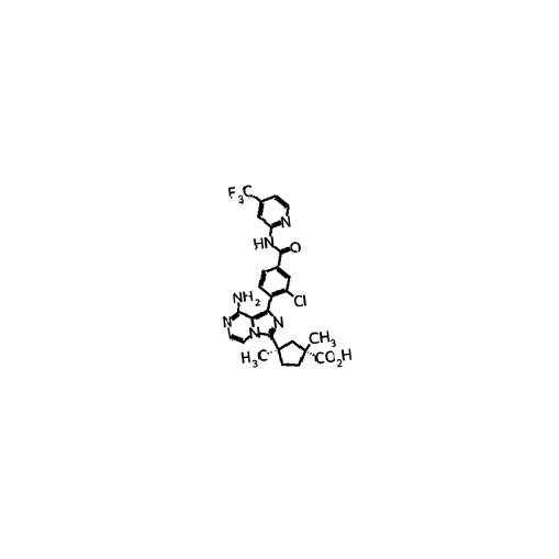 C[C@@]1(C(=O)O)CC[C@@](C)(c2nc(-c3ccc(C(=O)Nc4cc(C(F)(F)F)ccn4)cc3Cl)c3c(N)nccn23)C1